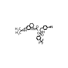 C=C(C)NCc1ccc2c(c1)CCC[C@H]2NC(=O)C[C@H](Cc1ccc(C#N)cc1)NS(=O)(=O)c1cccc(C(F)(F)F)c1